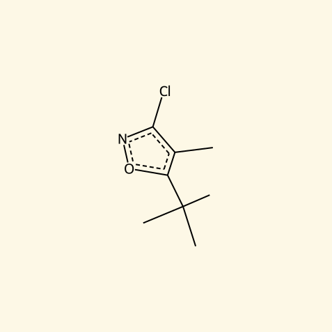 Cc1c(Cl)noc1C(C)(C)C